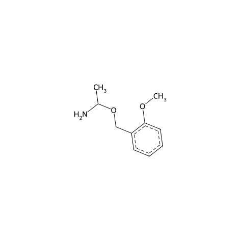 COc1ccccc1COC(C)N